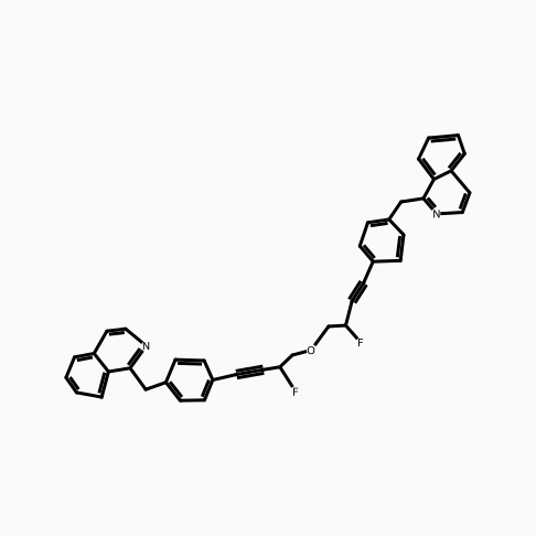 FC(C#Cc1ccc(Cc2nccc3ccccc23)cc1)COCC(F)C#Cc1ccc(Cc2nccc3ccccc23)cc1